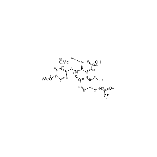 COc1ccc(CN(Sc2ccc3c(c2)CCN(C(=O)C(F)(F)F)C3)c2ccc(O)cc2F)c(OC)c1